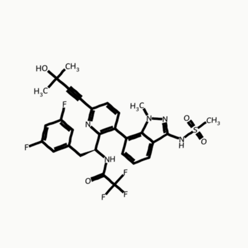 Cn1nc(NS(C)(=O)=O)c2cccc(-c3ccc(C#CC(C)(C)O)nc3[C@H](Cc3cc(F)cc(F)c3)NC(=O)C(F)(F)F)c21